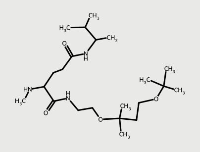 CNC(CCC(=O)NC(C)C(C)C)C(=O)NCCOC(C)(C)CCOC(C)(C)C